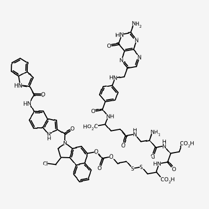 Nc1nc2ncc(CNc3ccc(C(=O)NC(CCC(=O)NCC(N)C(=O)NC(CC(=O)O)C(=O)NC(CSSCCOC(=O)Oc4cc5c(c6ccccc46)C(CCl)CN5C(=O)c4cc5cc(NC(=O)c6cc7ccccc7[nH]6)ccc5[nH]4)C(=O)O)C(=O)O)cc3)nc2c(=O)[nH]1